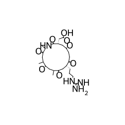 CC1CC(=O)C(C)CC(=O)C(C)NC(=O)[C@H](CC(=O)O)CC(=O)CCC(=O)[C@H](CCCNC(=N)N)CC1=O